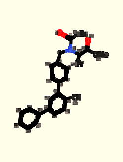 CCCCC(=O)N(Cc1ccc(-c2cc(-c3ccccc3)ccc2C#N)cc1)C(C(=O)OC)C(C)C